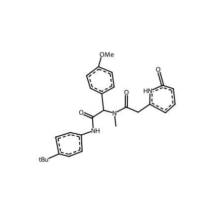 COc1ccc(C(C(=O)Nc2ccc(C(C)(C)C)cc2)N(C)C(=O)Cc2cccc(=O)[nH]2)cc1